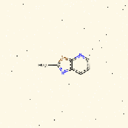 O=C(O)c1nc2cccnc2s1